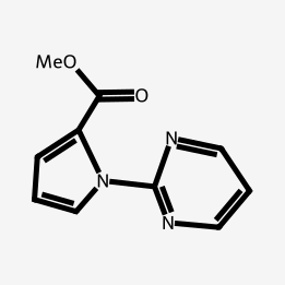 COC(=O)c1cccn1-c1ncccn1